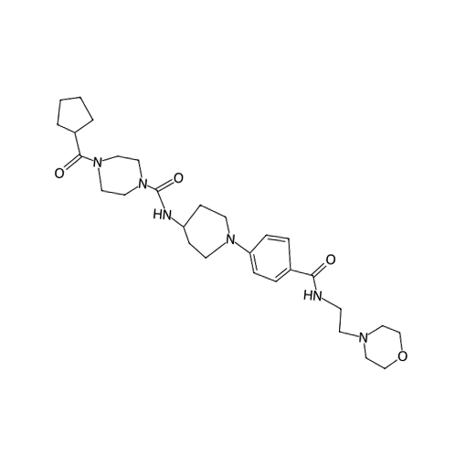 O=C(NCCN1CCOCC1)c1ccc(N2CCC(NC(=O)N3CCN(C(=O)C4CCCC4)CC3)CC2)cc1